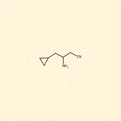 N#CCC(N)CC1CC1